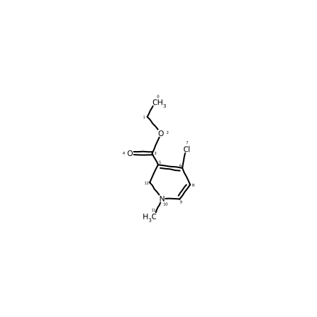 CCOC(=O)C1=C(Cl)C=CN(C)C1